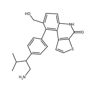 CC(C)C(CN)c1ccc(-c2c(CO)ccc3[nH]c(=O)c4sccc4c23)cc1